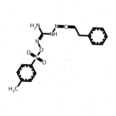 Cc1ccc(S(=O)(=O)ON=C(N)NN=C=CCc2ccccc2)cc1